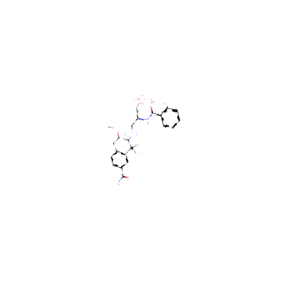 COC1Cc2ccc(C(N)=O)cc2C(C)(C)C1NCC(CO)NC(=O)c1ccccc1